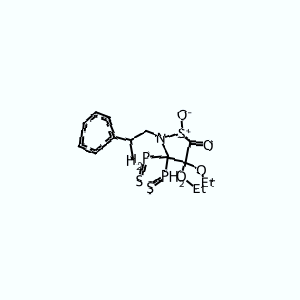 CCOC1(OCC)C(=O)[S+]([O-])N(CC(C)c2ccccc2)C1([PH2]=S)[PH2]=S